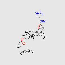 C=C(C)[C@@H]1CC[C@]2(CC(=O)NCCCN)CC[C@]3(C)[C@H](CC[C@@H]4[C@@]5(C)CC[C@H](OC(=O)CC(C)(C)CC(=O)O)C(C)(C)[C@@H]5CC[C@]43C)[C@@H]12